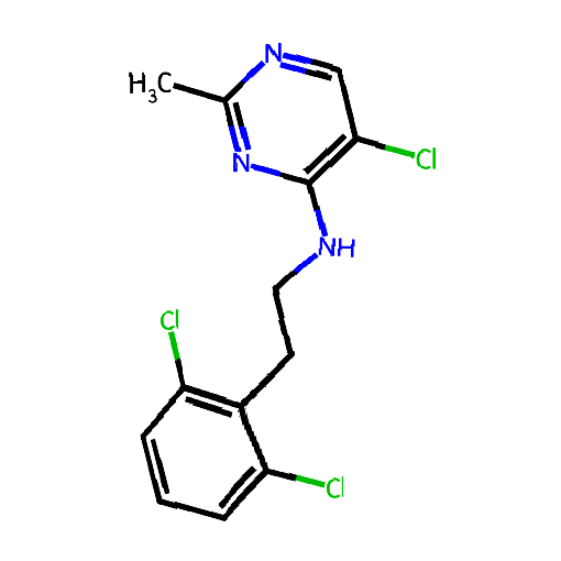 Cc1ncc(Cl)c(NCCc2c(Cl)cccc2Cl)n1